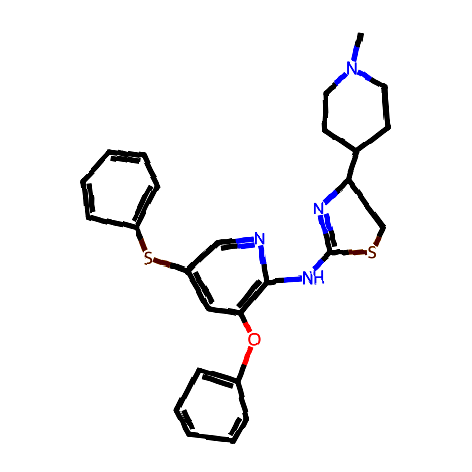 CN1CCC(C2CSC(Nc3ncc(Sc4ccccc4)cc3Oc3ccccc3)=N2)CC1